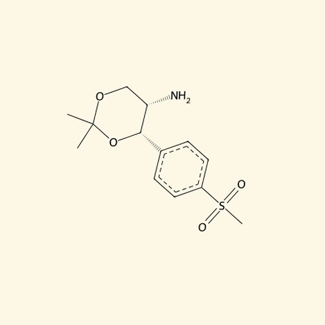 CC1(C)OC[C@H](N)[C@H](c2ccc(S(C)(=O)=O)cc2)O1